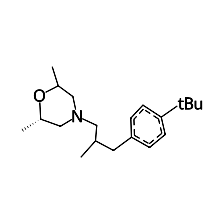 CC(Cc1ccc(C(C)(C)C)cc1)CN1CC(C)O[C@@H](C)C1